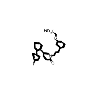 O=C(O)COc1cccc(CCCn2cc(-c3ccccc3-c3ccc(F)cc3)ccc2=O)c1